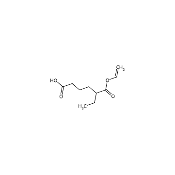 C=COC(=O)C(CC)CCCC(=O)O